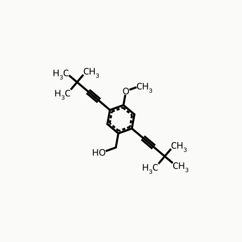 COc1cc(C#CC(C)(C)C)c(CO)cc1C#CC(C)(C)C